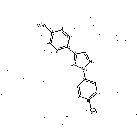 COc1ccc(-c2cnn(-c3ccc(C(=O)O)cc3)c2)cc1